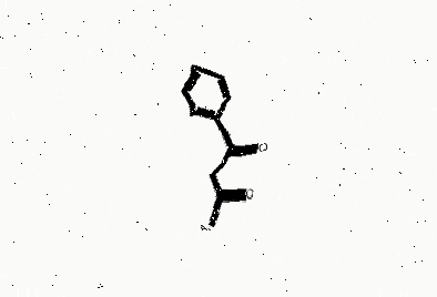 CC(=O)C(=O)CC(=O)c1ccccc1